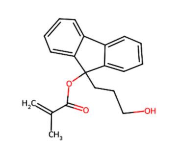 C=C(C)C(=O)OC1(CCCO)c2ccccc2-c2ccccc21